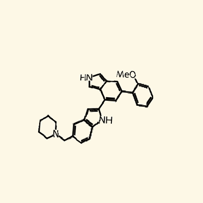 COc1ccccc1-c1cc(-c2cc3cc(CN4CCCCC4)ccc3[nH]2)c2c[nH]cc2c1